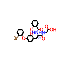 O=C(O)CNC(=O)/C(=C/c1ccc(Oc2ccccc2Br)cc1)NC(=O)c1ccccc1O